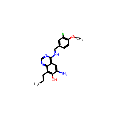 CCCc1c(O)c(N)cc2c(NCc3ccc(OC)c(Cl)c3)ncnc12